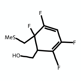 CSCC1(F)C(F)=CC(F)=C(F)C1CO